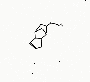 COC1CC2CC1C1CC=CC21